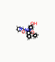 O=C(CN1CCCCC1)Nc1cc2ccccc2c(Oc2ccccc2)c1-c1ccc(O)cc1